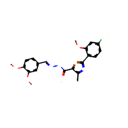 COc1ccc(/C=N/NC(=O)c2sc(-c3ccc(Cl)cc3OC)nc2C)cc1OC